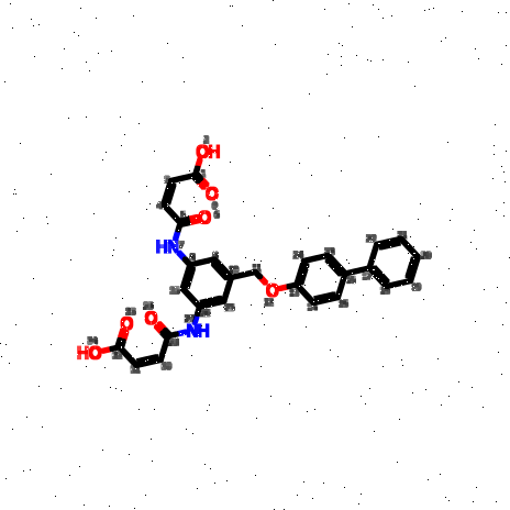 O=C(O)/C=C\C(=O)Nc1cc(COc2ccc(-c3ccccc3)cc2)cc(NC(=O)/C=C\C(=O)O)c1